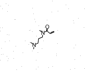 C=CC(=O)N(C)CCCN(C)C